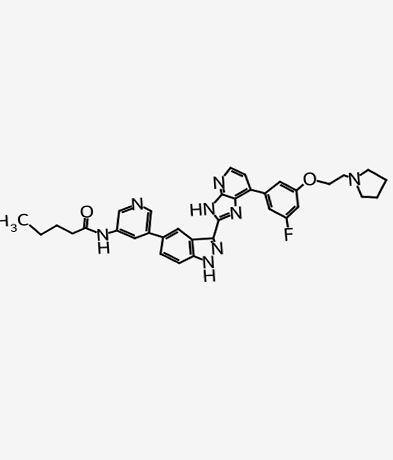 CCCCC(=O)Nc1cncc(-c2ccc3[nH]nc(-c4nc5c(-c6cc(F)cc(OCCN7CCCC7)c6)ccnc5[nH]4)c3c2)c1